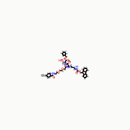 CC(C)(C)c1ccc(C(=O)NCCOCCOCC(=O)N[C@@H](CCCCNC(=O)OCC2c3ccccc3-c3ccccc32)C(=O)N[C@@H](CO)C(=O)OCc2ccccc2)cc1